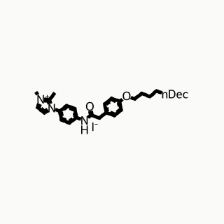 CCCCCCCCCCCCCCOc1ccc(CC(=O)Nc2ccc(-n3cc[n+](C)c3C)cc2)cc1.[I-]